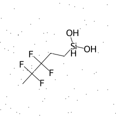 CC(F)(F)C(F)(F)CC[SiH](O)O